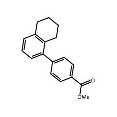 COC(=O)c1ccc(-c2cccc3c2CCCC3)cc1